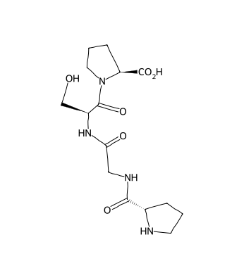 O=C(CNC(=O)[C@@H]1CCCN1)N[C@@H](CO)C(=O)N1CCC[C@H]1C(=O)O